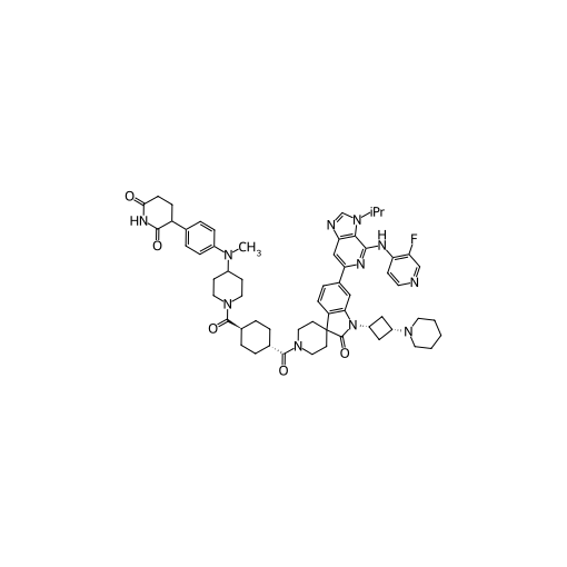 CC(C)n1cnc2cc(-c3ccc4c(c3)N([C@H]3C[C@@H](N5CCCCC5)C3)C(=O)C43CCN(C(=O)[C@H]4CC[C@H](C(=O)N5CCC(N(C)c6ccc(C7CCC(=O)NC7=O)cc6)CC5)CC4)CC3)nc(Nc3ccncc3F)c21